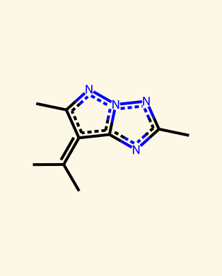 CC(C)=c1c(C)nn2nc(C)nc12